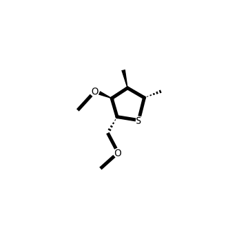 COC[C@H]1S[C@@H](C)[C@H](C)[C@@H]1OC